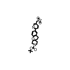 CC(C)(C)OC(=O)N1CCC2(CCc3cc(-c4ccc(CS(C)(=O)=O)cn4)ccc3O2)CC1